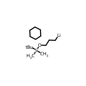 C1CCCCC1.[Li][CH2]CCO[Si](C)(C)C(C)(C)C